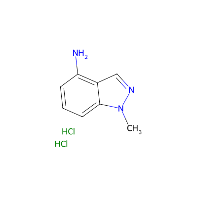 Cl.Cl.Cn1ncc2c(N)cccc21